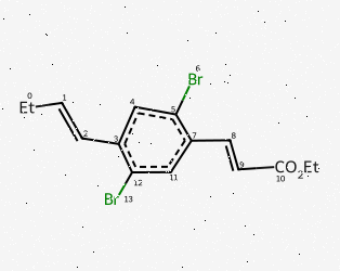 CC/C=C/c1cc(Br)c(/C=C/C(=O)OCC)cc1Br